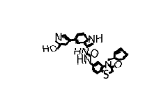 O=C(Nc1ccc2c(c1)N(Cc1ccccc1)C(=O)CS2)Nc1c[nH]c2ccc(-c3cncc(CO)c3)cc12